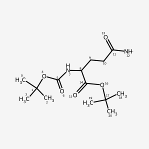 CC(C)(C)OC(=O)NC(CCC([NH])=O)C(=O)OC(C)(C)C